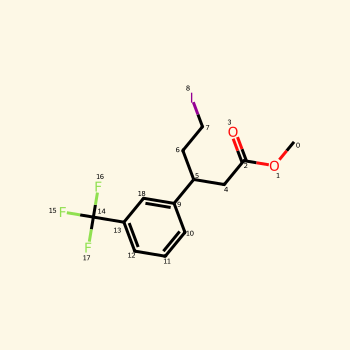 COC(=O)CC(CCI)c1cccc(C(F)(F)F)c1